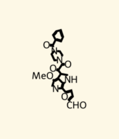 COc1cnc(-c2ccc(C=O)o2)c2c1C(C(=O)C(=O)N1CCN(C(=O)c3ccccc3)CC1)CN2